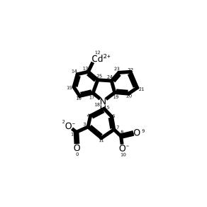 O=C([O-])c1cccc(C(=O)[O-])c1.[Cd+2][c]1cccc2[nH]c3ccccc3c12